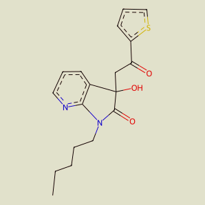 CCCCCN1C(=O)C(O)(CC(=O)c2cccs2)c2cccnc21